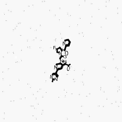 CC(=O)c1nn(CC(=O)N2C[C@H](F)C[C@H]2C(=O)c2ccccn2)c2cnc(-c3cnc(C)nc3)cc12